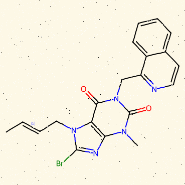 C/C=C/Cn1c(Br)nc2c1c(=O)n(Cc1nccc3ccccc13)c(=O)n2C